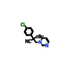 CCCCC(C#N)(CN1C=NC=CC1)c1ccc(Cl)cc1